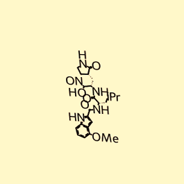 COc1cccc2[nH]c(C(=O)N[C@@H](CC(C)C)C(=O)N[C@@H](C[C@@H]3CCNC3=O)C(O)N=O)cc12